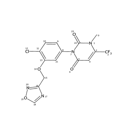 Cn1c(C(F)(F)F)cc(=O)n(-c2ccc(Cl)c(OCc3ncon3)c2)c1=O